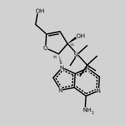 CC(C)(C)[Si](C)(C)[C@@]1(O)C=C(CO)O[C@H]1n1cnc2c(N)ncnc21